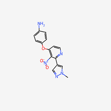 Cn1cc(-c2nccc(Oc3ccc(N)cc3)c2[N+](=O)[O-])cn1